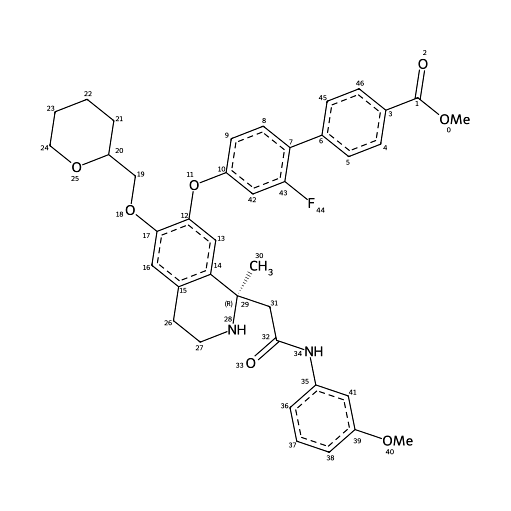 COC(=O)c1ccc(-c2ccc(Oc3cc4c(cc3OCC3CCCCO3)CCN[C@]4(C)CC(=O)Nc3cccc(OC)c3)cc2F)cc1